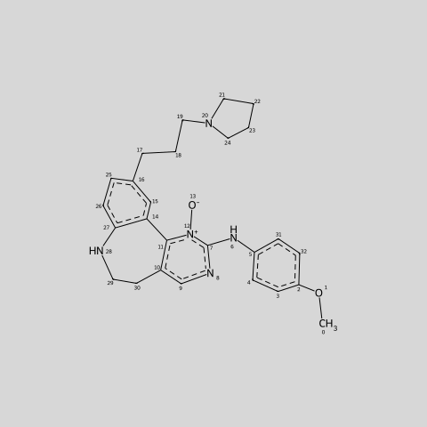 COc1ccc(Nc2ncc3c([n+]2[O-])-c2cc(CCCN4CCCC4)ccc2NCC3)cc1